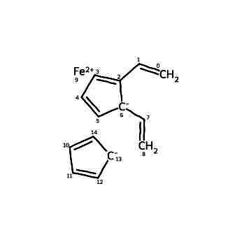 C=Cc1ccc[c-]1C=C.[Fe+2].c1cc[cH-]c1